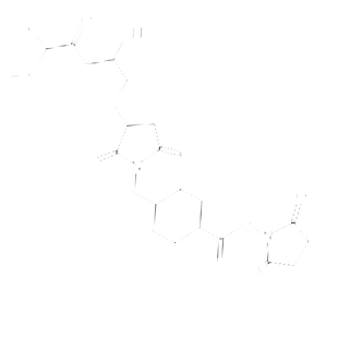 C=C1CC(SCC(C)CC(=O)C(C)C)C(=O)N1CC1CCC(C(=O)ON2C(=O)CCC2=O)CC1